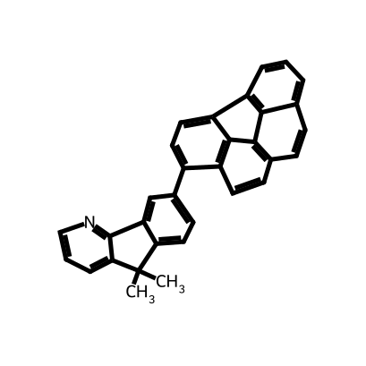 CC1(C)c2ccc(-c3ccc4c5c3ccc3ccc6cccc-4c6c35)cc2-c2ncccc21